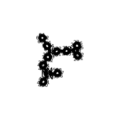 c1ccc(-c2ccc(N(c3ccc(-c4ccc(-n5c6ccccc6c6ccccc65)cc4)cc3)c3ccc(-c4cccc(-c5nc(-c6ccccc6)nc(-c6ccccc6)n5)c4)cc3)cc2)cc1